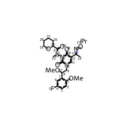 COc1ccc(F)cc1C(Cn1cc(/C(C)=N/OC(C)C)c(=O)n(N(C)C(=O)C2CCCCO2)c1=O)OC